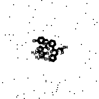 C[C@H](N)C(=O)N1[C@H](C(=O)N[C@@]2(Cc3ccc(Cl)cc3)CCCC(C(=O)[C@@H](CC(=O)O)Cc3cccnc3)C2)COC1(C)C